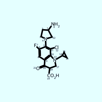 NC1CCN(c2c(F)cc3c(c2Cl)N(C2CC2)CC(C(=O)O)C3=O)C1